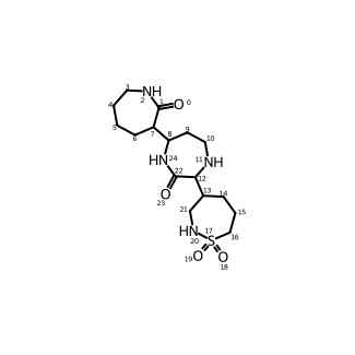 O=C1NCCCCC1C1CCNC(C2CCCS(=O)(=O)NC2)C(=O)N1